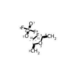 C=COC=C.O=S(=O)(F)F.[C]F